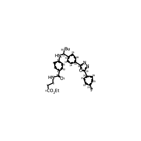 CCOC(=O)CCNC(=O)c1ccc(NC(c2ccc(-c3nnc(-c4ccc(F)cc4)o3)cc2)C(C)CC)cc1